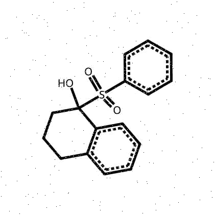 O=S(=O)(c1ccccc1)C1(O)CCCc2ccccc21